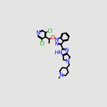 CC(On1nc(-c2nc3c([nH]2)CN(CC2CCN(C)CC2)C3)c2ccccc21)c1c(Cl)cncc1Cl